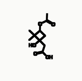 CC(=O)OC1CC(O)(CC(=O)O)C1(C)C